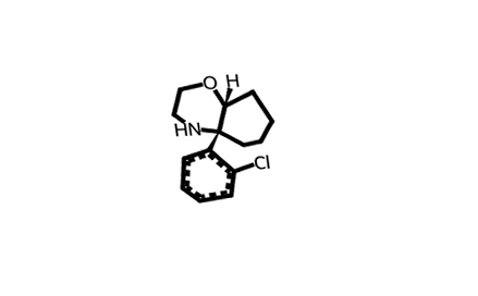 Clc1ccccc1[C@]12CCCC[C@H]1OCCN2